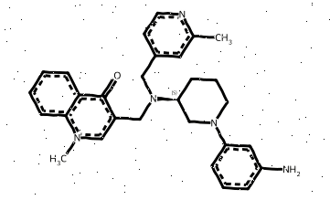 Cc1cc(CN(Cc2cn(C)c3ccccc3c2=O)[C@H]2CCCN(c3cccc(N)c3)C2)ccn1